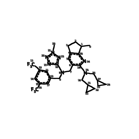 CC1CCc2cc(CN(Cc3cc(C(F)(F)F)cc(C(F)(F)F)c3)c3nnn(C)n3)c(N(CC3CC3)CC3CC3)nc21